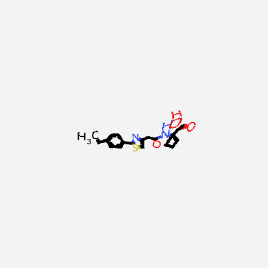 CCc1ccc(-c2nc(CC(=O)NC3(C(=O)O)CCC3)cs2)cc1